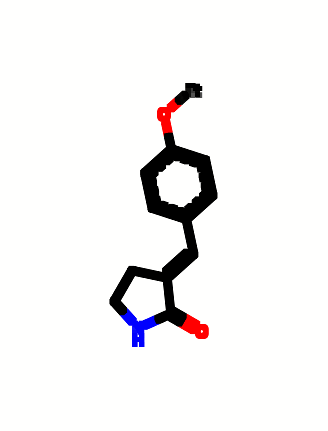 CCOc1ccc(/C=C2\CCNC2=O)cc1